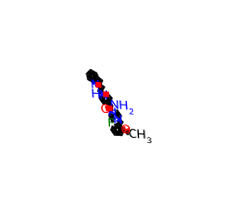 CCOc1cccc(F)c1CN1CCN(C(=O)[C@H](N)C2CCN(CCc3cc4ccccc4[nH]3)CC2)CC1